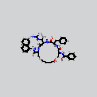 CCC(NC(=N)N)C1NC(=O)C(Cc2ccccc2)NC(=O)C(NC(=O)c2ccccc2)COCCCCOCC(C(=O)Nc2cccc3ccccc23)NC1=O